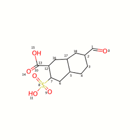 O=CC1CCC2CC(S(=O)(=O)O)C(C(=O)O)CC2C1